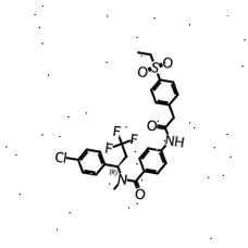 CCS(=O)(=O)c1ccc(CC(=O)Nc2ccc(C(=O)N(C)[C@H](CC(F)(F)F)c3ccc(Cl)cc3)cc2)cc1